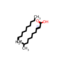 C=CCCCCCCCC.CC(C)CCCCC/C=C/C(=O)O